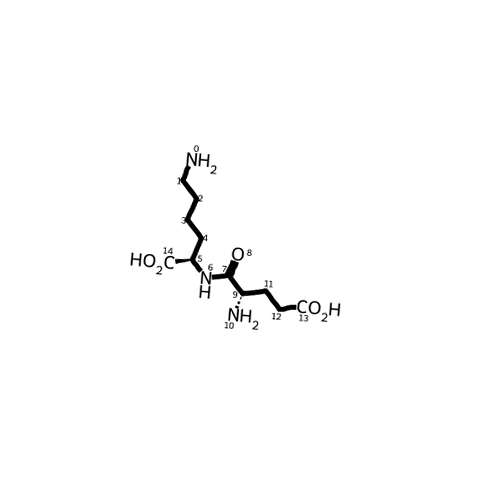 NCCCC[C@@H](NC(=O)[C@@H](N)CCC(=O)O)C(=O)O